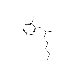 CCCCCC(C)Oc1ccccc1F